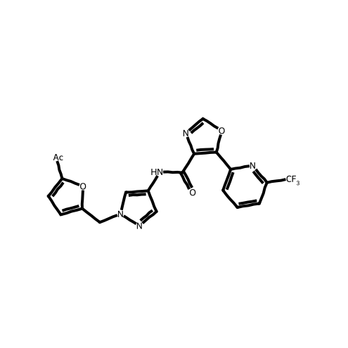 CC(=O)c1ccc(Cn2cc(NC(=O)c3ncoc3-c3cccc(C(F)(F)F)n3)cn2)o1